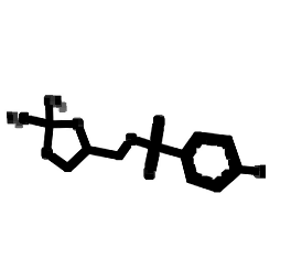 CC1(C)OCC(COS(=O)(=O)c2ccc(Cl)cc2)O1